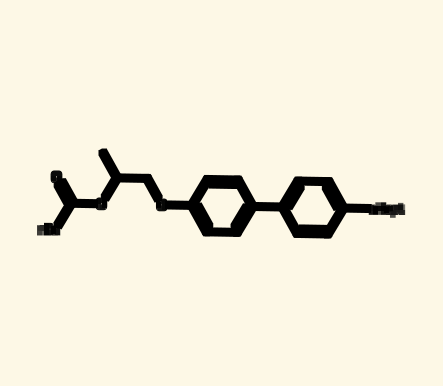 CCCCCCCc1ccc(-c2ccc(OCC(C)OC(=O)CCCC)cc2)cc1